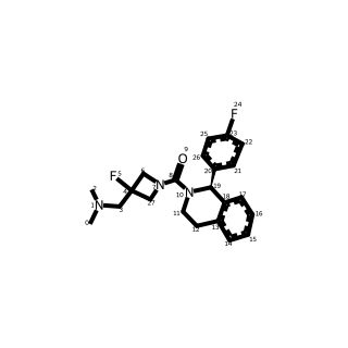 CN(C)CC1(F)CN(C(=O)N2CCc3ccccc3[C@@H]2c2ccc(F)cc2)C1